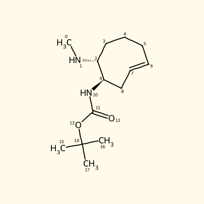 CN[C@@H]1CCC/C=C/C[C@H]1NC(=O)OC(C)(C)C